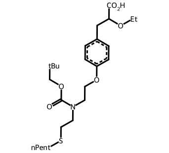 CCCCCSCCN(CCOc1ccc(CC(OCC)C(=O)O)cc1)C(=O)OCC(C)(C)C